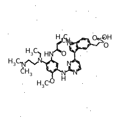 C=CC(=O)Nc1cc(Nc2nccc(-c3cn(C)c4ccc(CS(=O)(=O)O)cc34)n2)c(OC)cc1N(CC)CCN(C)C